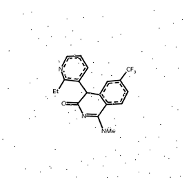 CCc1ncccc1C1C(=O)N=C(NC)c2ccc(C(F)(F)F)cc21